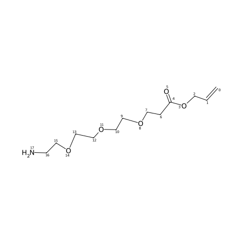 C=CCOC(=O)CCOCCOCCOCCN